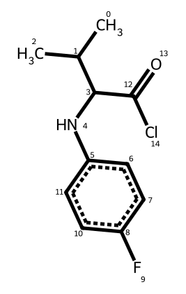 CC(C)C(Nc1ccc(F)cc1)C(=O)Cl